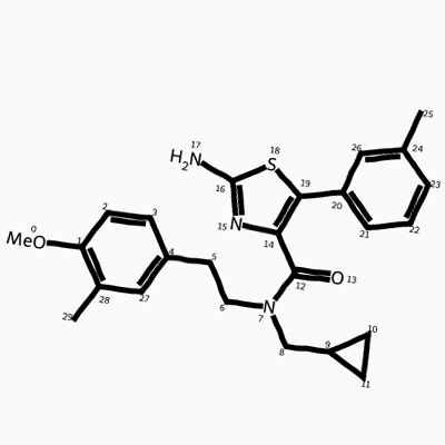 COc1ccc(CCN(CC2CC2)C(=O)c2nc(N)sc2-c2cccc(C)c2)cc1C